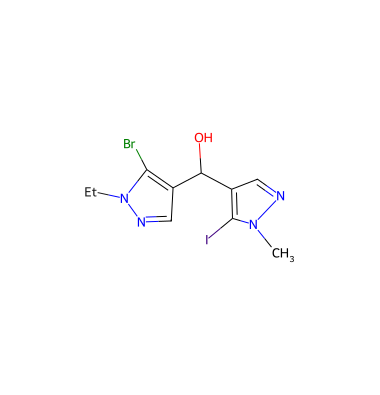 CCn1ncc(C(O)c2cnn(C)c2I)c1Br